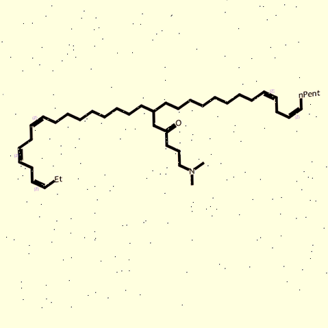 CC/C=C\C/C=C\C/C=C\CCCCCCCCC(CCCCCCCC/C=C\C/C=C\CCCCC)CC(=O)CCCN(C)C